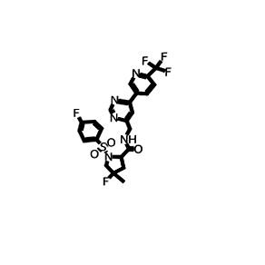 CC1(F)CC(C(=O)NCc2cc(-c3ccc(C(F)(F)F)nc3)ncn2)N(S(=O)(=O)c2ccc(F)cc2)C1